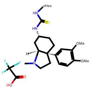 CCCCCCNC(=S)N[C@@H]1CC[C@@]2(c3ccc(OC)c(OC)c3)CCN(C)[C@H]2C1.O=C(O)C(F)(F)F